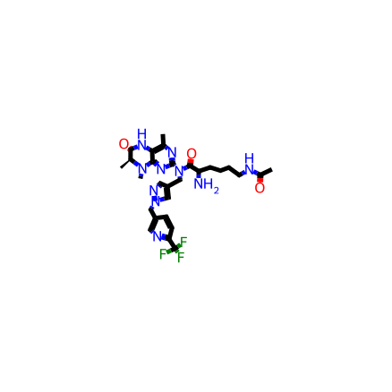 CC(=O)NCCCCC(N)C(=O)N(Cc1cnn(Cc2ccc(C(F)(F)F)nc2)c1)c1nc(C)c2c(n1)N(C)[C@@H](C)C(=O)N2